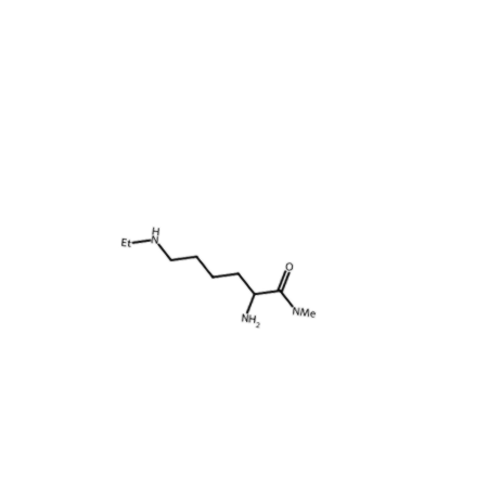 CCNCCCCC(N)C(=O)NC